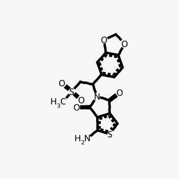 CS(=O)(=O)CC(c1ccc2c(c1)OCO2)N1C(=O)c2csc(N)c2C1=O